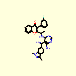 Cc1nn(C)c2cc(C(=N)c3c(N)ncnc3NC(C)c3oc4ccccc4c(=O)c3-c3cccc(F)c3)ccc12